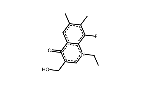 CCn1cc(CO)c(=O)c2cc(C)c(C)c(F)c21